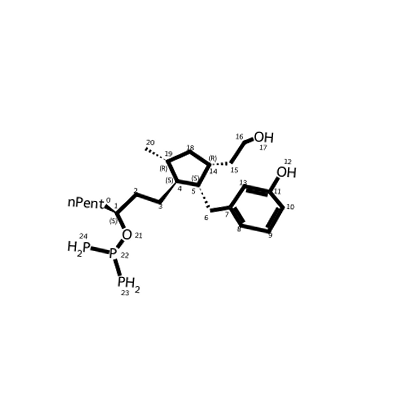 CCCCC[C@@H](CC[C@@H]1[C@@H](Cc2cccc(O)c2)[C@@H](CCO)C[C@H]1C)OP(P)P